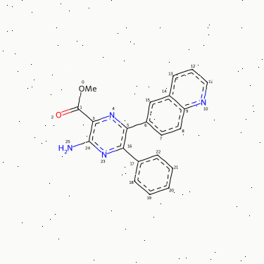 COC(=O)c1nc(-c2ccc3ncccc3c2)c(-c2ccccc2)nc1N